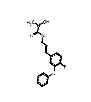 CN(O)C(=O)NCC=Cc1ccc(F)c(Oc2ccccc2)c1